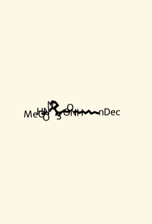 CCCCCCCCCCCCCCCCCCNC(=O)OCC1SCC1c1cccnc1CNC(=O)OC